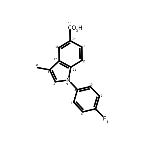 Cc1cn(-c2ccc(F)cc2)c2ccc(C(=O)O)cc12